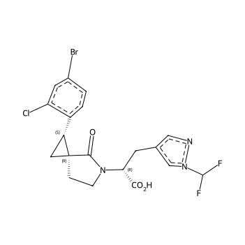 O=C(O)[C@@H](Cc1cnn(C(F)F)c1)N1CC[C@@]2(C[C@@H]2c2ccc(Br)cc2Cl)C1=O